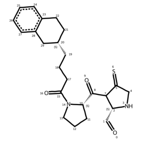 O=C[C@H]1NCC(=S)C1C(=O)[C@@H]1CCCN1C(=O)CCC[C@H]1CCc2ccccc2C1